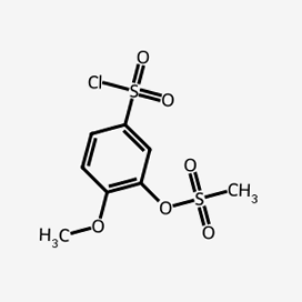 COc1ccc(S(=O)(=O)Cl)cc1OS(C)(=O)=O